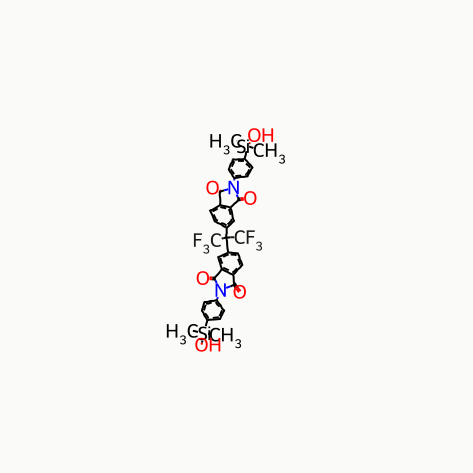 C[Si](C)(O)c1ccc(N2C(=O)c3ccc(C(c4ccc5c(c4)C(=O)N(c4ccc([Si](C)(C)O)cc4)C5=O)(C(F)(F)F)C(F)(F)F)cc3C2=O)cc1